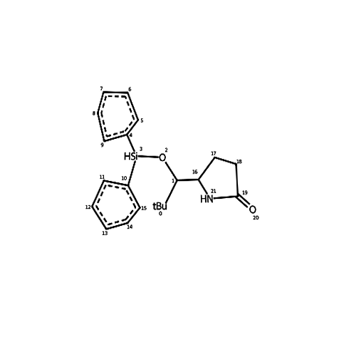 CC(C)(C)C(O[SiH](c1ccccc1)c1ccccc1)C1CCC(=O)N1